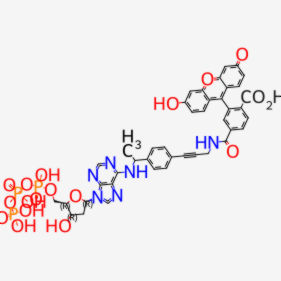 CC(Nc1ncnc2c1ncn2[C@H]1C[C@@H](O)[C@@H](COP(=O)(O)OP(=O)(O)OP(=O)(O)O)O1)c1ccc(C#CCNC(=O)c2ccc(C(=O)O)c(-c3c4ccc(=O)cc-4oc4cc(O)ccc34)c2)cc1